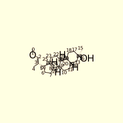 COC=C(C)[C@H]1CC[C@H]2[C@@H]3CC[C@H]4C[C@](C)(O)CC[C@]4(C)[C@H]3CC[C@]12C